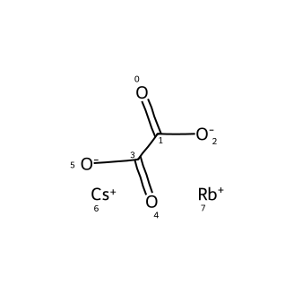 O=C([O-])C(=O)[O-].[Cs+].[Rb+]